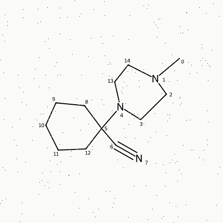 CN1CCN(C2(C#N)CCCCC2)CC1